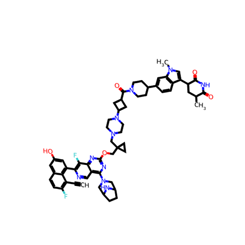 C#Cc1c(F)ccc2cc(O)cc(-c3ncc4c(N5CC6CCC(C5)N6)nc(OCC5(CN6CCN(C7CC(C(=O)N8CCC(c9ccc%10c(C%11CC(C)C(=O)NC%11=O)cn(C)c%10c9)CC8)C7)CC6)CC5)nc4c3F)c12